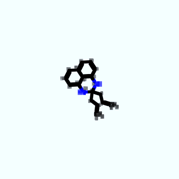 C=CCC1(CC=C)Nc2cccc3cccc(c23)N1